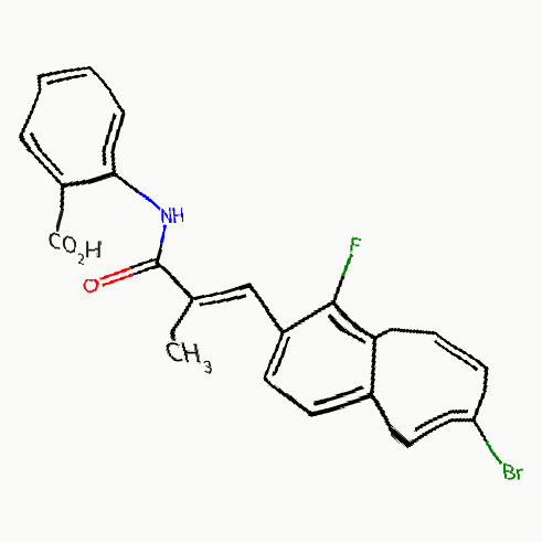 C/C(=C\c1ccc2cc(Br)ccc2c1F)C(=O)Nc1ccccc1C(=O)O